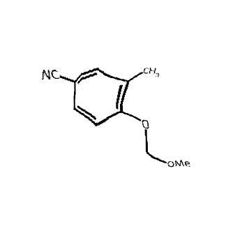 COCOc1ccc(C#N)cc1C